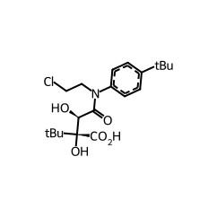 CC(C)(C)c1ccc(N(CCCl)C(=O)[C@H](O)[C@@](O)(C(=O)O)C(C)(C)C)cc1